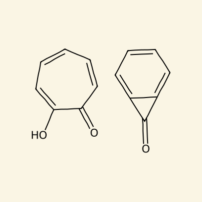 O=c1c2ccccc12.O=c1cccccc1O